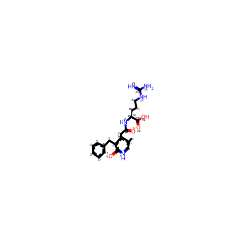 Cc1c[nH]c(=O)c(Cc2ccccc2)c1CC(=O)N[C@@H](CCCNC(=N)N)C(=O)O